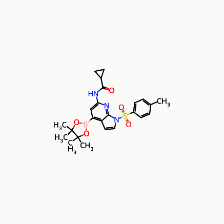 Cc1ccc(S(=O)(=O)n2ccc3c(B4OC(C)(C)C(C)(C)O4)cc(NC(=O)C4CC4)nc32)cc1